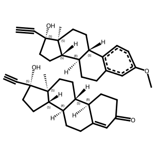 C#C[C@]1(O)CC[C@H]2[C@@H]3CCC4=CC(=O)CC[C@@H]4[C@H]3CC[C@@]21C.C#C[C@]1(O)CC[C@H]2[C@@H]3CCc4cc(OC)ccc4[C@H]3CC[C@@]21C